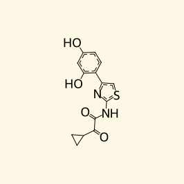 O=C(Nc1nc(-c2ccc(O)cc2O)cs1)C(=O)C1CC1